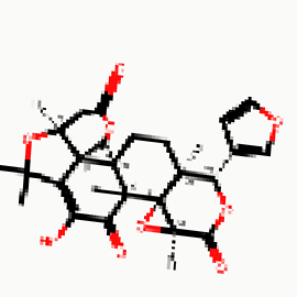 CC1(C)O[C@H]2CC(=O)OC[C@@]23C1=C(O)C(=O)[C@]1(C)[C@@H]3CC[C@@]2(C)[C@H](c3ccoc3)OC(=O)[C@H]3O[C@]321